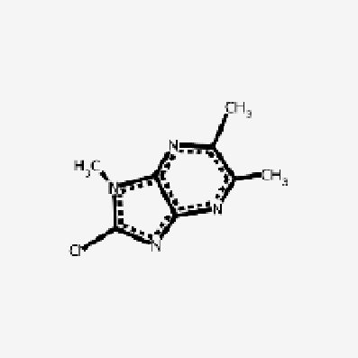 Cc1nc2nc(Cl)n(C)c2nc1C